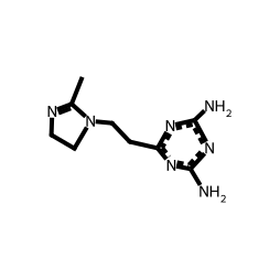 CC1=NCCN1CCc1nc(N)nc(N)n1